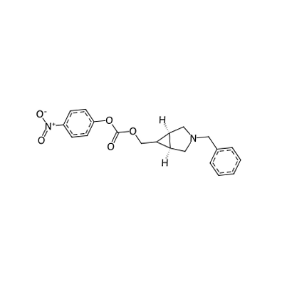 O=C(OCC1[C@H]2CN(Cc3ccccc3)C[C@@H]12)Oc1ccc([N+](=O)[O-])cc1